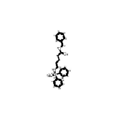 CC(C)(C)[Si](OCCCCC(=O)OCc1ccccc1)(c1ccccc1)c1ccccc1